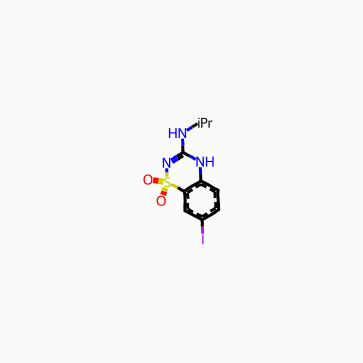 CC(C)NC1=NS(=O)(=O)c2cc(I)ccc2N1